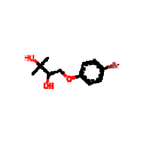 CC(C)(O)C(O)COc1ccc(Br)cc1